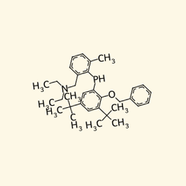 CCN(CC)Cc1cccc(C)c1Pc1cc(C(C)(C)C)cc(C(C)(C)C)c1OCc1ccccc1